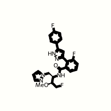 CO[C@H](CF)[C@@H](Cn1cccn1)NC(=O)c1cccc(F)c1-c1cc(-c2ccc(F)cc2)[nH]n1